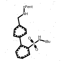 CCCCCNCc1ccc(-c2ccccc2S(=O)(=O)NC(C)(C)C)cc1